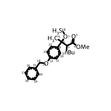 CCCCC(C(=O)OC)C(C)(O[SiH3])c1ccc(OCc2ccccc2)cc1